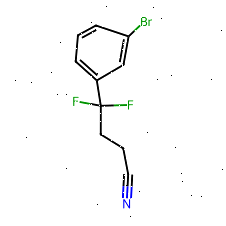 N#CCCC(F)(F)c1cccc(Br)c1